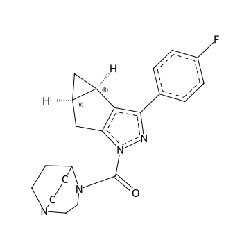 O=C(N1CCN2CCC1CC2)n1nc(-c2ccc(F)cc2)c2c1C[C@H]1C[C@@H]21